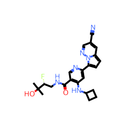 CC(C)(O)[C@H](F)CNC(=O)c1cnc(-c2ccc3cc(C#N)cnn23)cc1NC1CCC1